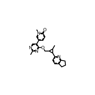 Cc1ncc(-c2ccc(=O)n(C)c2)c(OCC2C(C)C2c2ccc3c(n2)CCC3)n1